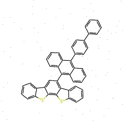 c1ccc(-c2ccc(-c3c4ccccc4c(-c4cc5c6ccccc6sc5c5sc6ccccc6c45)c4ccccc34)cc2)cc1